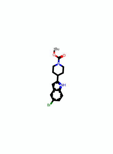 CC(C)(C)OC(=O)N1CCC(c2cc3cc(Br)ccc3[nH]2)CC1